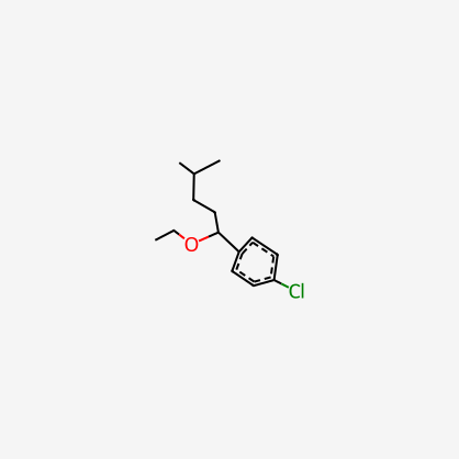 CCOC(CCC(C)C)c1ccc(Cl)cc1